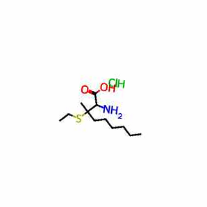 CCCCCCC(C)(SCC)C(N)C(=O)O.Cl